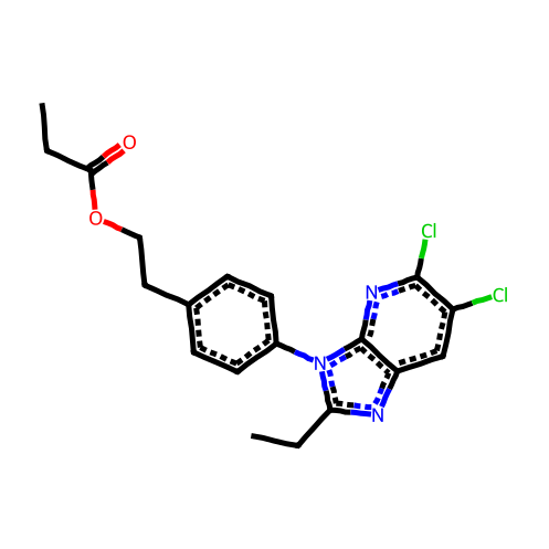 CCC(=O)OCCc1ccc(-n2c(CC)nc3cc(Cl)c(Cl)nc32)cc1